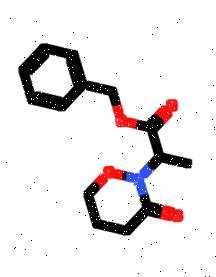 CC(C(=O)OCc1ccccc1)N1OCCCC1=O